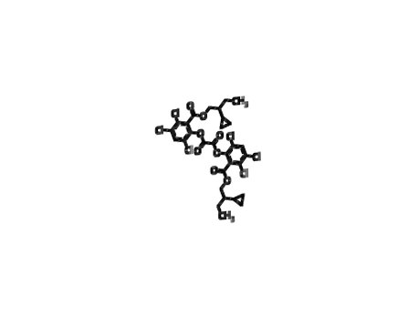 CCC(COC(=O)c1c(Cl)c(Cl)cc(Cl)c1OC(=O)C(=O)Oc1c(Cl)cc(Cl)c(Cl)c1C(=O)OCC(CC)C1CC1)C1CC1